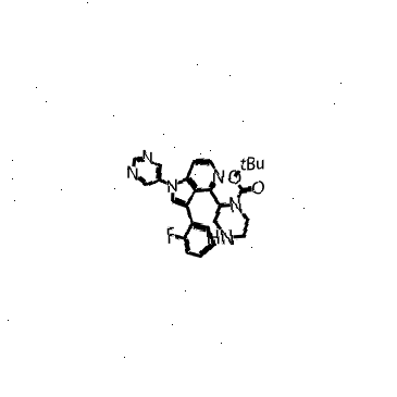 CC(C)(C)OC(=O)N1CCNCC1c1nccc2c1c(-c1ccccc1F)cn2-c1cncnc1